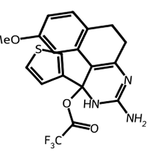 COc1ccc2c(c1)C1=C(CC2)N=C(N)NC1(OC(=O)C(F)(F)F)c1ccsc1